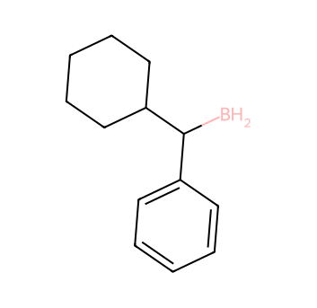 BC(c1ccccc1)C1CCCCC1